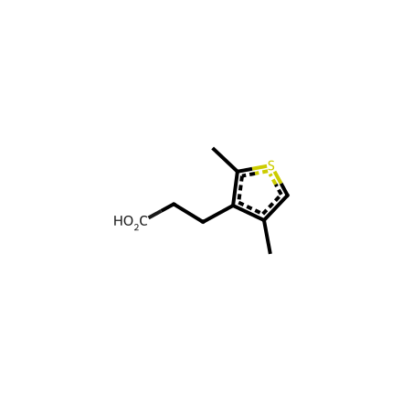 Cc1csc(C)c1CCC(=O)O